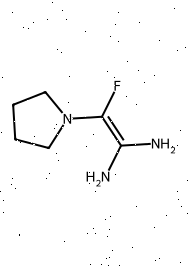 NC(N)=C(F)N1CCCC1